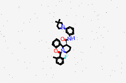 Cc1cccc(F)c1C(=O)N1CCC[C@H](C(=O)Nc2cccc(N3CCC(C)(C)C3)c2)C1c1ccccc1